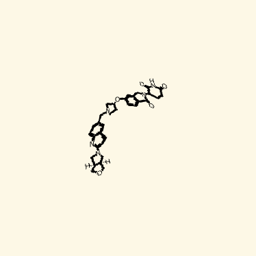 O=C1CCC(N2Cc3cc(O[C@H]4CCN(Cc5ccc6nc(N7C[C@H]8COC[C@H]8C7)ccc6c5)C4)ccc3C2=O)C(=O)N1